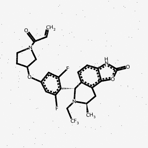 C=CC(=O)N1CCC(Oc2cc(F)c([C@@H]3c4ccc5[nH]c(=O)oc5c4C[C@@H](C)N3CC(F)(F)F)c(F)c2)C1